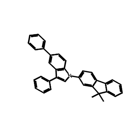 CC1(C)c2ccccc2-c2ccc(-n3cc(-c4ccccc4)c4cc(-c5ccccc5)ccc43)cc21